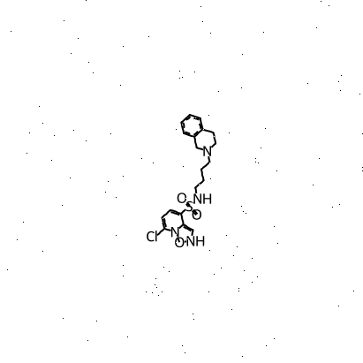 O=S(=O)(NCCCCN1CCc2ccccc2C1)C1=CC=C(Cl)N2ONC=C12